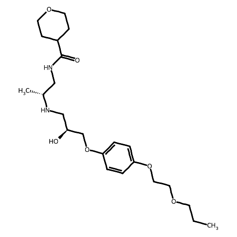 CCCOCCOc1ccc(OC[C@@H](O)CN[C@H](C)CNC(=O)C2CCOCC2)cc1